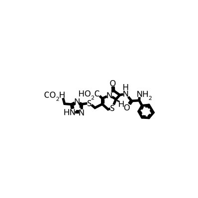 NC(C(=O)NC1C(=O)N2C(C(=O)O)=C(CSc3n[nH]c(CC(=O)O)n3)CS[C@@H]12)c1ccccc1